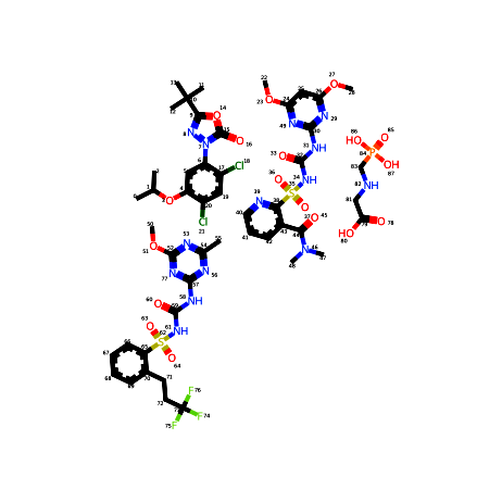 CC(C)Oc1cc(-n2nc(C(C)(C)C)oc2=O)c(Cl)cc1Cl.COc1cc(OC)nc(NC(=O)NS(=O)(=O)c2ncccc2C(=O)N(C)C)n1.COc1nc(C)nc(NC(=O)NS(=O)(=O)c2ccccc2CCC(F)(F)F)n1.O=C(O)CNCP(=O)(O)O